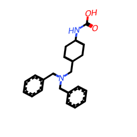 O=C(O)NC1CCC(CN(Cc2ccccc2)Cc2ccccc2)CC1